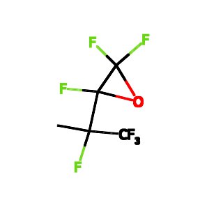 CC(F)(C(F)(F)F)C1(F)OC1(F)F